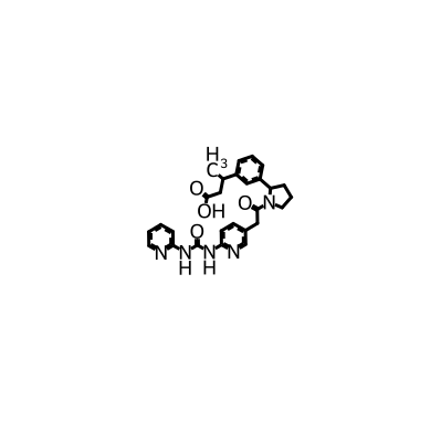 CC(CC(=O)O)c1cccc(C2CCCN2C(=O)Cc2ccc(NC(=O)Nc3ccccn3)nc2)c1